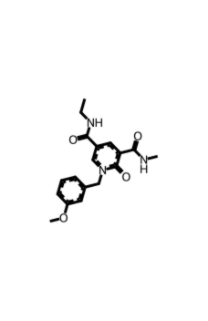 CCNC(=O)c1cc(C(=O)NC)c(=O)n(Cc2cccc(OC)c2)c1